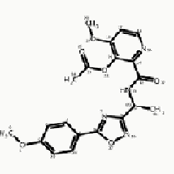 COc1ccc(-c2nc([C@H](C)NC(=O)c3nccc(OC)c3OC(C)=O)no2)cc1